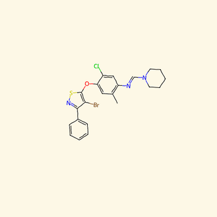 Cc1cc(Oc2snc(-c3ccccc3)c2Br)c(Cl)cc1/N=C/N1CCCCC1